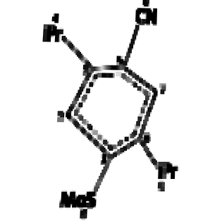 CSc1cc(C(C)C)c(C#N)cc1C(C)C